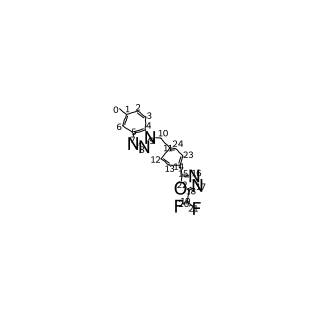 Cc1ccc2c(c1)nnn2Cc1ccc(-c2nnc(C(F)F)o2)cc1